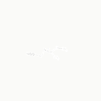 CO/C(C)=N/CC#N